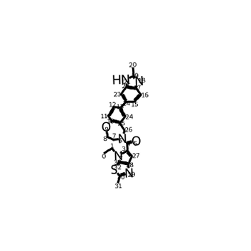 CCn1c(C(=O)N2CCOc3ccc(-c4ccc5nc(C)[nH]c5c4)cc3C2)cc2nc(C)sc21